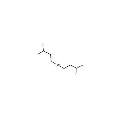 CC(C)C[CH2][Be][CH2]CC(C)C